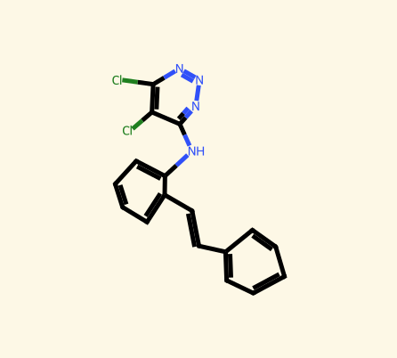 Clc1nnnc(Nc2ccccc2/C=C/c2ccccc2)c1Cl